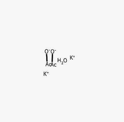 CC(=O)[O-].CC(=O)[O-].O.[K+].[K+]